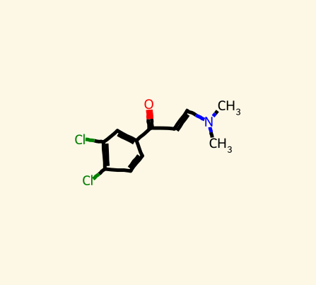 CN(C)C=CC(=O)c1ccc(Cl)c(Cl)c1